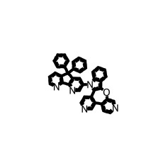 c1ccc(C2(c3ccccc3)c3cccnc3-c3ncc(-n4c5c(c6ccccc64)Oc4cnccc4-c4cnccc4-5)cc32)cc1